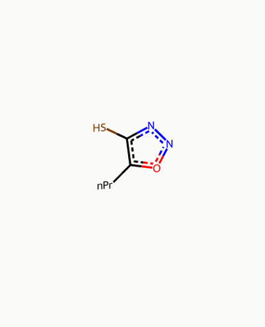 CCCc1onnc1S